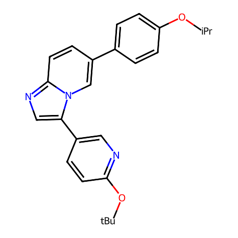 CC(C)Oc1ccc(-c2ccc3ncc(-c4ccc(OC(C)(C)C)nc4)n3c2)cc1